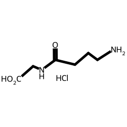 Cl.NCCCC(=O)NCC(=O)O